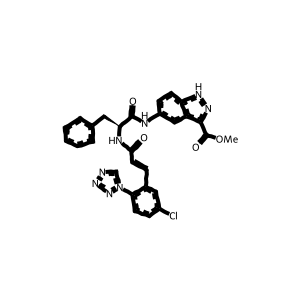 COC(=O)c1n[nH]c2ccc(NC(=O)[C@H](Cc3ccccc3)NC(=O)/C=C/c3cc(Cl)ccc3-n3cnnn3)cc12